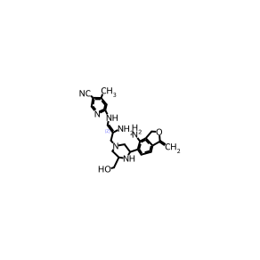 C=C1OCc2c1ccc(C1CN(C/C(N)=C/Nc3cc(C)c(C#N)cn3)CC(CO)N1)c2N